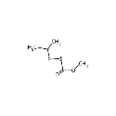 COC(=O)SSC(C)C